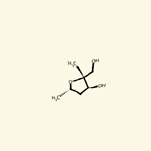 C[C@H]1C[C@H](O)[C@@](C)(CO)O1